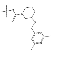 Cc1cc(CO[C@H]2CCCN(C(=O)OC(C)(C)C)C2)cc(C)n1